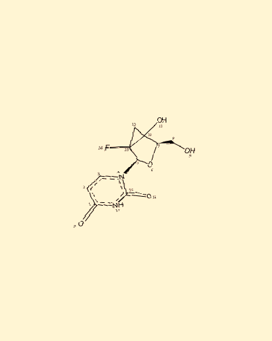 O=c1ccn([C@@H]2O[C@H](CO)C3(O)CC23F)c(=O)[nH]1